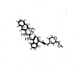 COCC1CN(CC#Cc2ccc(NC(=O)Nc3cc4ccccc4cc3OC)c3ccccc23)CCO1